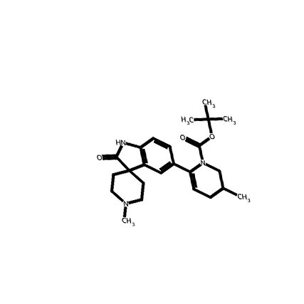 CC1CC=C(c2ccc3c(c2)C2(CCN(C)CC2)C(=O)N3)N(C(=O)OC(C)(C)C)C1